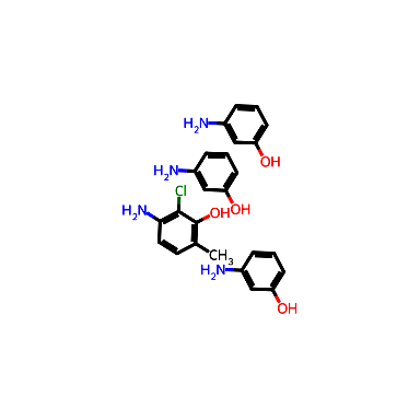 Cc1ccc(N)c(Cl)c1O.Nc1cccc(O)c1.Nc1cccc(O)c1.Nc1cccc(O)c1